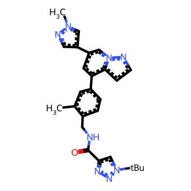 Cc1cc(-c2cc(-c3cnn(C)c3)cn3nccc23)ccc1CNC(=O)c1cn(C(C)(C)C)nn1